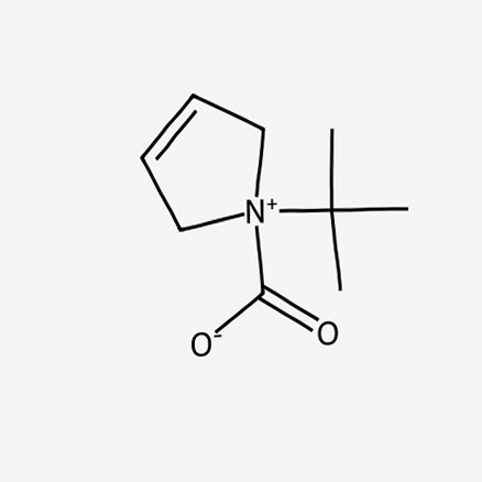 CC(C)(C)[N+]1(C(=O)[O-])CC=CC1